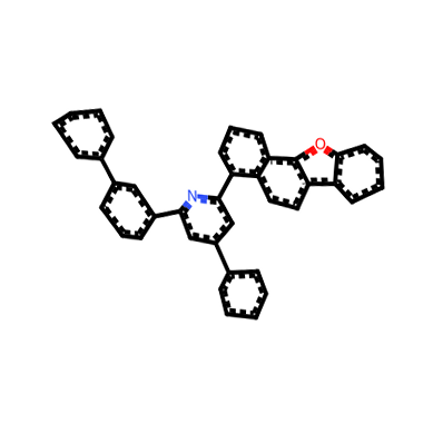 c1ccc(-c2cccc(-c3cc(-c4ccccc4)cc(-c4cccc5c4ccc4c6ccccc6oc54)n3)c2)cc1